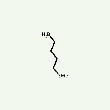 BCCCCSC